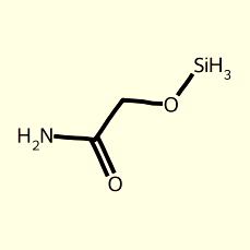 NC(=O)CO[SiH3]